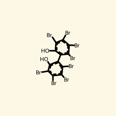 Oc1c(Br)c(Br)c(Br)c(Br)c1-c1c(O)c(Br)c(Br)c(Br)c1Br